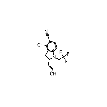 C/C=C/C1Cc2c(ccc(C#N)c2Cl)N1CC(F)(F)F